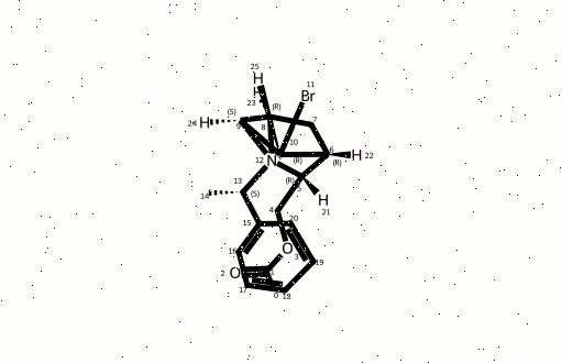 CC(=O)OC[C@H]1[C@H]2C[C@@H]3[C@@H]([C@@H]2Br)[N+]31[C@@H](C)c1ccccc1